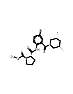 C[C@@H]1C[C@H](C)CN(C(=O)c2cc(Br)ccc2NC(=O)[C@@H]2CCCN2C(=O)OC(C)(C)C)C1